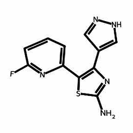 Nc1nc(-c2cn[nH]c2)c(-c2cccc(F)n2)s1